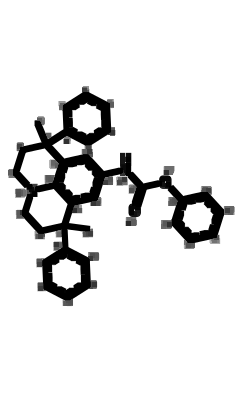 CC1(c2ccccc2)CCN2CCC(C)(c3ccccc3)c3cc(NC(=O)Oc4ccccc4)cc1c32